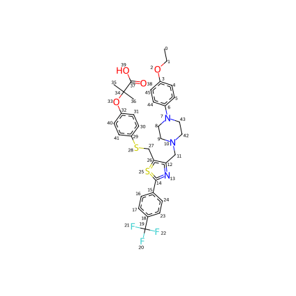 CCOc1ccc(N2CCN(Cc3nc(-c4ccc(C(F)(F)F)cc4)sc3CSc3ccc(OC(C)(C)C(=O)O)cc3)CC2)cc1